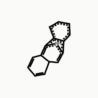 C1=CC2=c3[nH]c(c4ccccc34)=CC2C=C1